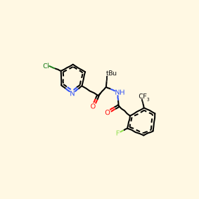 CC(C)(C)C(NC(=O)c1c(F)cccc1C(F)(F)F)C(=O)c1ccc(Cl)cn1